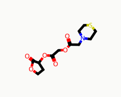 O=C(CN1CCSCC1)OCC(=O)OC1CCOC1=O